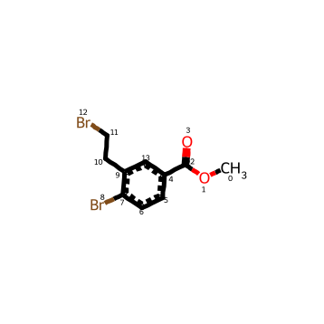 COC(=O)c1ccc(Br)c(CCBr)c1